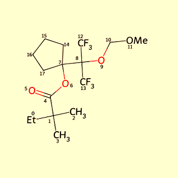 CCC(C)(C)C(=O)OC1(C(OCOC)(C(F)(F)F)C(F)(F)F)CCCC1